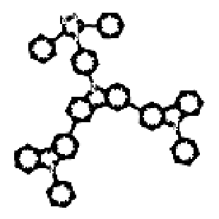 c1ccc(-c2nnc(-c3ccccc3)n2-c2ccc(-n3c4ccc(-c5ccc6c(c5)c5ccccc5n6-c5ccccc5)cc4c4cc(-c5ccc6c(c5)c5ccccc5n6-c5ccccc5)ccc43)cc2)cc1